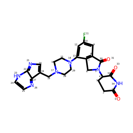 O=C1CCC(N2Cc3c(cc(F)cc3N3CCN(Cc4cnc5[nH]ccnc4-5)CC3)C2=O)C(=O)N1